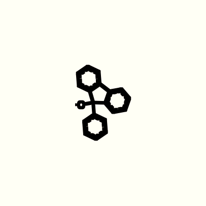 [O]C1(c2ccccc2)c2ccccc2-c2ccccc21